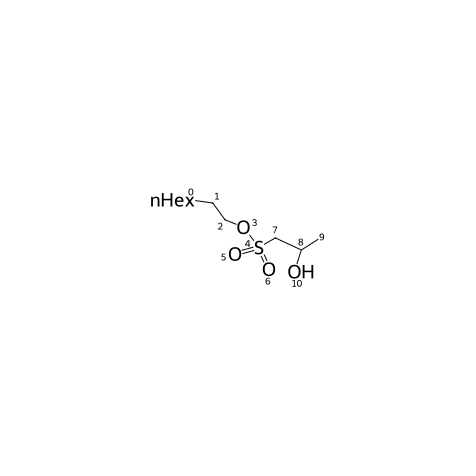 CCCCCCCCOS(=O)(=O)CC(C)O